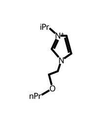 CCCOCCn1cc[n+](C(C)C)c1